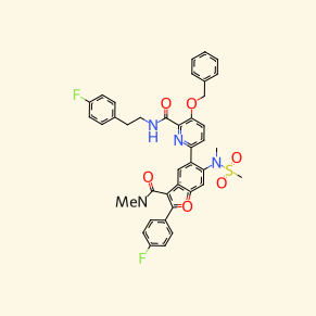 CNC(=O)c1c(-c2ccc(F)cc2)oc2cc(N(C)S(C)(=O)=O)c(-c3ccc(OCc4ccccc4)c(C(=O)NCCc4ccc(F)cc4)n3)cc12